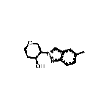 Cc1ccc2nn(C3COCCC3O)cc2c1